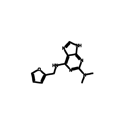 CN(C)c1nc(NCc2ccco2)c2nc[nH]c2n1